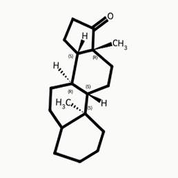 C[C@@]12CC[C@H]3[C@@H](CCC4CCCC[C@@]43C)[C@@H]1CCC2=O